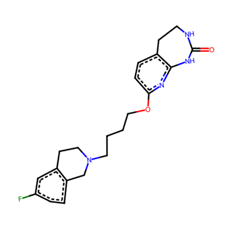 O=C1NCCc2ccc(OCCCCN3CCc4cc(F)ccc4C3)nc2N1